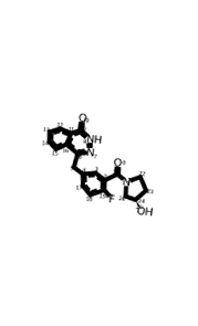 O=C(c1cc(Cc2n[nH]c(=O)c3ccccc23)ccc1F)N1CC[C@H](O)C1